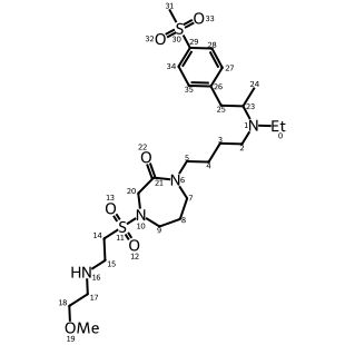 CCN(CCCCN1CCCN(S(=O)(=O)CCNCCOC)CC1=O)C(C)Cc1ccc(S(C)(=O)=O)cc1